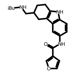 CCC(C)NCC1CCc2[nH]c3ccc(NC(=O)c4ccoc4)cc3c2C1